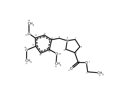 CCOC(=O)C1CCN(Cc2cc(OC)c(OC)cc2OC)C1